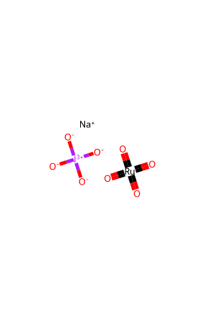 [Na+].[O-][I+3]([O-])([O-])[O-].[O]=[Ru](=[O])(=[O])=[O]